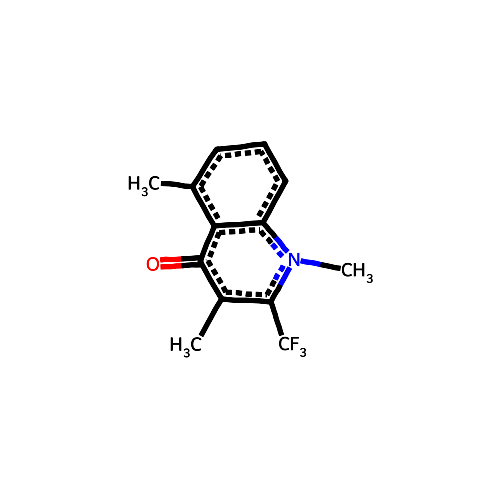 Cc1c(C(F)(F)F)n(C)c2cccc(C)c2c1=O